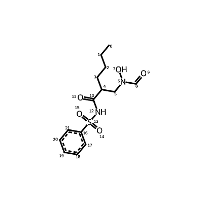 CCCCC(CN(O)C=O)C(=O)NS(=O)(=O)c1ccccc1